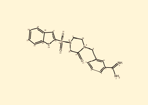 N=C(N)c1cccc(CN2CCN(S(=O)(=O)c3cc4ccccc4s3)CC2=O)c1